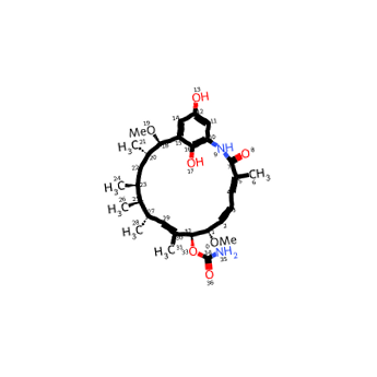 CO[C@H]1/C=C\C=C(/C)C(=O)Nc2cc(O)cc(c2O)[C@H](OC)[C@@H](C)C[C@H](C)[C@H](C)[C@@H](C)/C=C(\C)[C@@H]1OC(N)=O